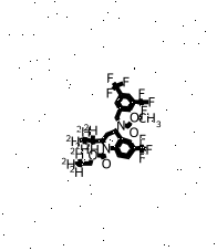 [2H]C([2H])([2H])COC(=O)N1c2ccc(C(F)(F)F)cc2C(N(Cc2cc(C(F)(F)F)cc(C(F)(F)F)c2)C(=O)OC)CC1C([2H])([2H])C([2H])([2H])[2H]